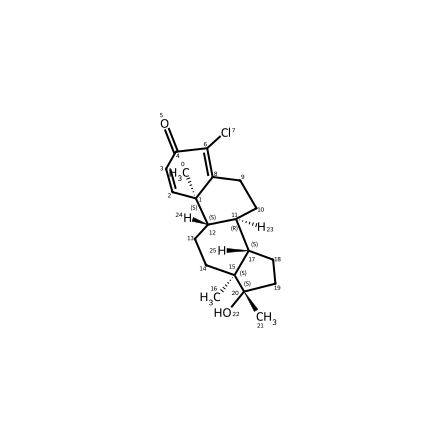 C[C@]12C=CC(=O)C(Cl)=C1CC[C@@H]1[C@@H]2CC[C@@]2(C)[C@H]1CC[C@]2(C)O